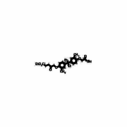 CCOC(=O)CCC(=O)COc1ccc(C(CC)(CC)c2ccc(OCC(=O)C(C)(C)C)c(C)c2)cc1C